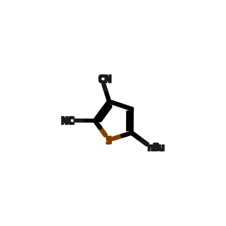 CCCCc1cc(C#N)c(C#N)s1